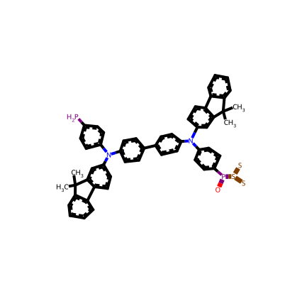 CC1(C)c2ccccc2-c2ccc(N(c3ccc(P)cc3)c3ccc(-c4ccc(N(c5ccc(P(=O)=S(=S)=S)cc5)c5ccc6c(c5)C(C)(C)c5ccccc5-6)cc4)cc3)cc21